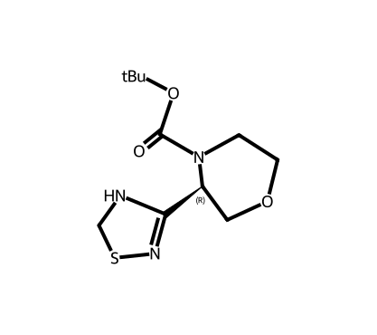 CC(C)(C)OC(=O)N1CCOC[C@H]1C1=NSCN1